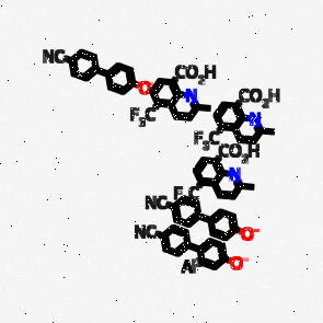 Cc1ccc2c(C(F)(F)F)ccc(C(=O)O)c2n1.Cc1ccc2c(C(F)(F)F)ccc(C(=O)O)c2n1.Cc1ccc2c(C(F)(F)F)ccc(C(=O)O)c2n1.N#Cc1ccc(-c2ccc([O-])cc2)cc1.N#Cc1ccc(-c2ccc([O-])cc2)cc1.N#Cc1ccc(-c2ccc([O-])cc2)cc1.[Al+3]